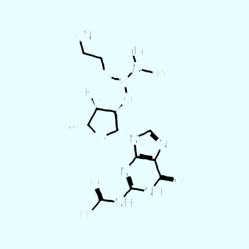 [CH2][C@H]1O[C@@H](n2cnc3c(=O)[nH]c(NC(=O)C(C)C)nc32)[C@H](OP(OCCC#N)N(C(C)C)C(C)C)[C@@H]1F